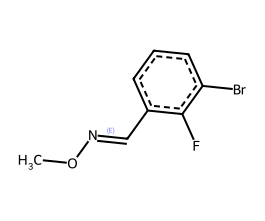 CO/N=C/c1cccc(Br)c1F